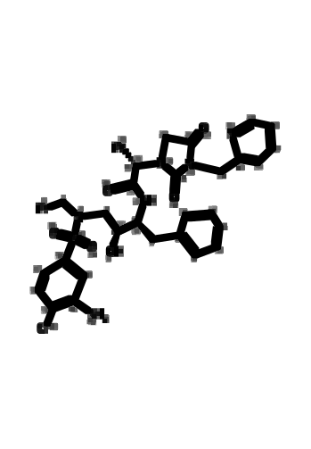 CC(C)CN(C[C@H](O)[C@H](Cc1ccccc1)NC(=O)[C@H](C(C)C)N1CC(=O)N(Cc2ccccn2)C1=O)S(=O)(=O)c1ccc(Cl)c(N)c1